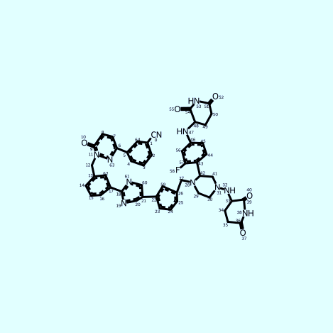 N#Cc1cccc(-c2ccc(=O)n(Cc3cccc(-c4ncc(-c5cccc(CN6CCN(NC7CCC(=O)NC7=O)CC6c6ccc(NC7CCC(=O)NC7=O)cc6F)c5)cn4)c3)n2)c1